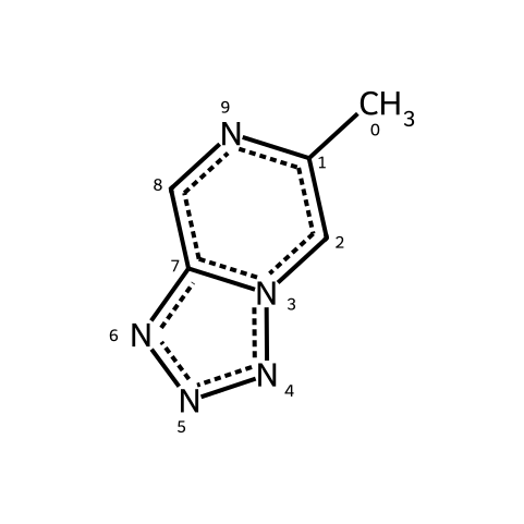 Cc1cn2nnnc2cn1